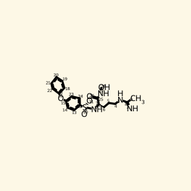 CC(=N)NCCC[C@@H](NS(=O)(=O)c1ccc(Oc2ccccc2)cc1)C(=O)NO